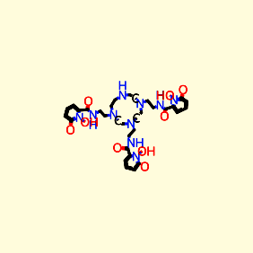 O=C(NCCN1CCNCCN(CCNC(=O)c2cccc(=O)n2O)CCN(CCNC(=O)c2cccc(=O)n2O)CC1)c1cccc(=O)n1O